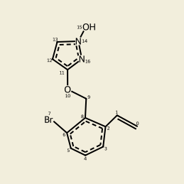 C=Cc1cccc(Br)c1COc1ccn(O)n1